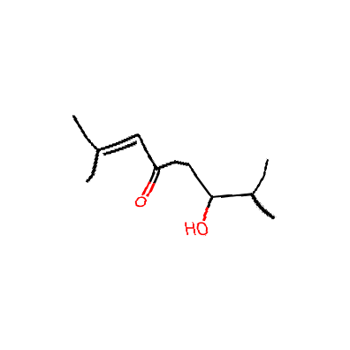 CC(C)=CC(=O)CC(O)C(C)C